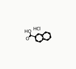 Cl.O=C(O)c1ccc2ccccc2c1